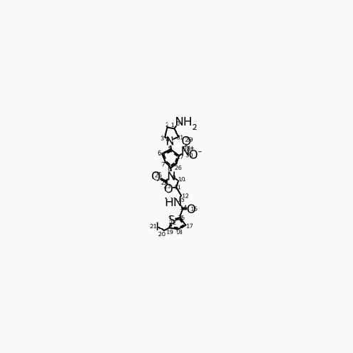 NC1CCN(c2ccc(N3CC(CNC(=O)c4ccc(CI)s4)OC3=O)cc2[N+](=O)[O-])C1